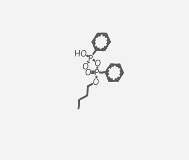 CCCCOP(=O)(OP(=O)(O)c1ccccc1)c1ccccc1